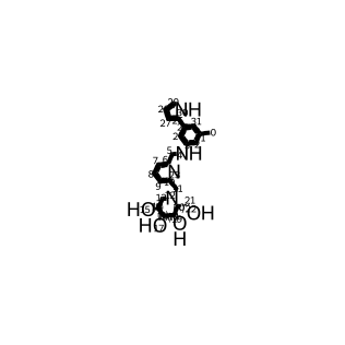 Cc1cc(NCc2cccc(CN3C[C@H](O)[C@@H](O)[C@H](O)[C@H]3CO)n2)cc(-c2ccc[nH]2)c1